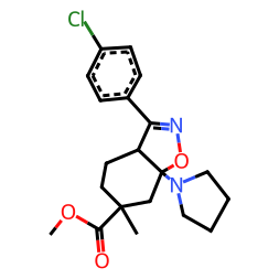 COC(=O)C1(C)CCC2C(c3ccc(Cl)cc3)=NOC2(N2CCCC2)C1